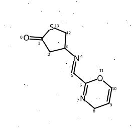 O=C1CC(N=CC2=NCC=CO2)CS1